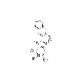 CCSc1cc2ccccc2cc1-c1nc2cc(C(F)(F)F)n(CC)c(=O)c2n1C